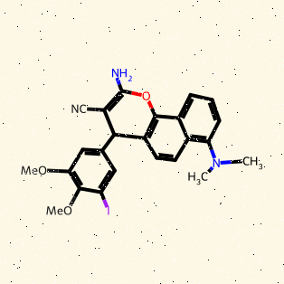 COc1cc(C2C(C#N)=C(N)Oc3c2ccc2c(N(C)C)cccc32)cc(I)c1OC